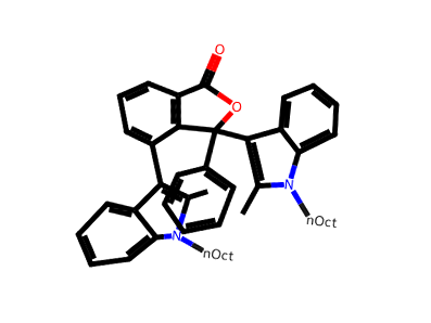 CCCCCCCCn1c(C)c(-c2cccc3c2C(c2ccccc2)(c2c(C)n(CCCCCCCC)c4ccccc24)OC3=O)c2ccccc21